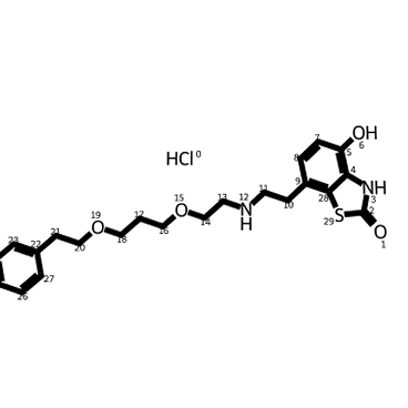 Cl.O=c1[nH]c2c(O)ccc(CCNCCOCCCOCCc3ccccc3)c2s1